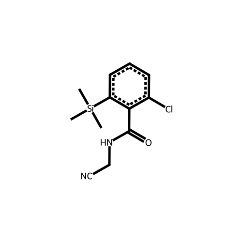 C[Si](C)(C)c1cccc(Cl)c1C(=O)NCC#N